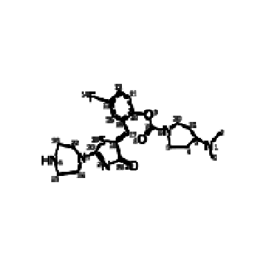 CN(C)C1CCN(C(=O)Oc2ccc(F)cc2/C=C2\SC(N3CCNCC3)=NC2=O)CC1